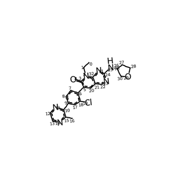 CCn1c(=O)c(-c2ccc(-c3nccnc3C)cc2Cl)cc2cnc(N[C@@H]3CCOC3)nc21